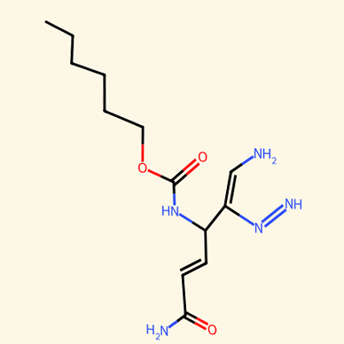 CCCCCCOC(=O)NC(/C=C/C(N)=O)/C(=C/N)N=N